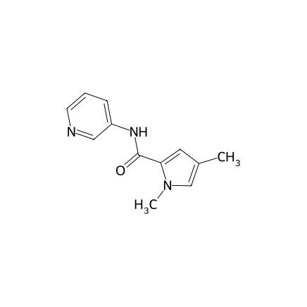 Cc1cc(C(=O)Nc2cccnc2)n(C)c1